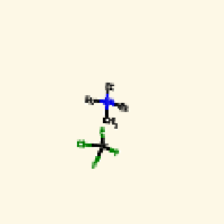 CC[N+](C)(CC)CC.F[B-](F)(F)Cl